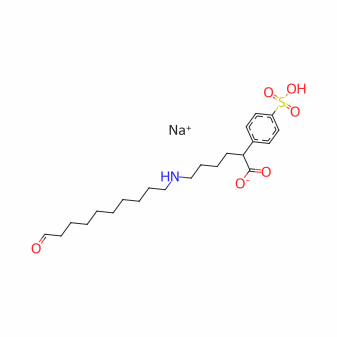 O=CCCCCCCCCCNCCCCC(C(=O)[O-])c1ccc(S(=O)(=O)O)cc1.[Na+]